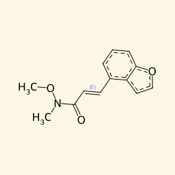 CON(C)C(=O)/C=C/c1cccc2occc12